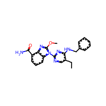 CCc1cnc(-n2c(OC)nc3c(C(N)=O)cccc32)nc1NCc1ccccc1